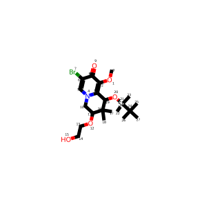 COc1c2n(cc(Br)c1=O)CC(OCCO)C(C)(C)C2O[Si](C)(C)C(C)(C)C